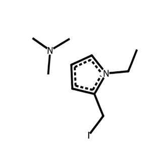 CCn1cccc1CI.CN(C)C